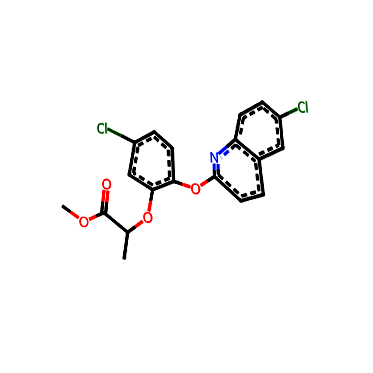 COC(=O)C(C)Oc1cc(Cl)ccc1Oc1ccc2cc(Cl)ccc2n1